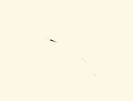 CCCN1CC[C@H](N(C)C)C1